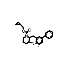 NC1CCCN(C(=O)OCC2CC2)C1Cc1cccc(-c2ccccc2)c1